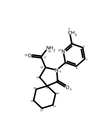 Cc1cccc(N2C(=O)C3(C[CH]CCC3)CC2C(N)=O)n1